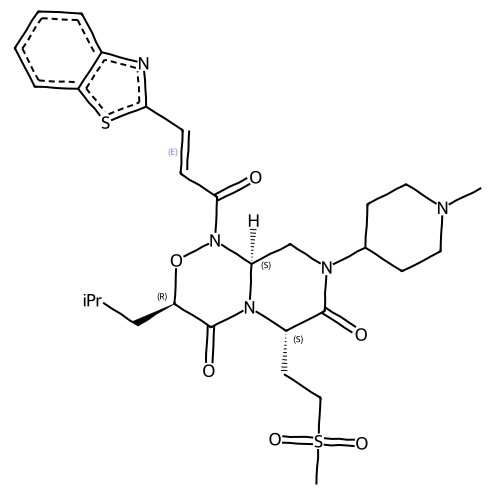 CC(C)C[C@H]1ON(C(=O)/C=C/c2nc3ccccc3s2)[C@H]2CN(C3CCN(C)CC3)C(=O)[C@H](CCS(C)(=O)=O)N2C1=O